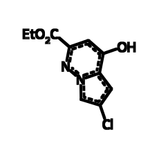 CCOC(=O)c1cc(O)c2cc(Cl)cn2n1